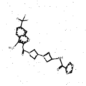 Cc1c(C(=O)N2CC(N3CC(NC(=O)c4cscn4)C3)C2)sc2cc(C(F)(F)F)ccc12